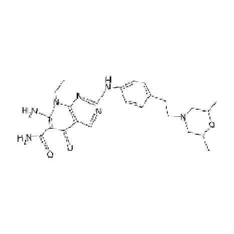 CCn1c(N)c(C(N)=O)c(=O)c2cnc(Nc3ccc(CCN4CC(C)OC(C)C4)cc3)nc21